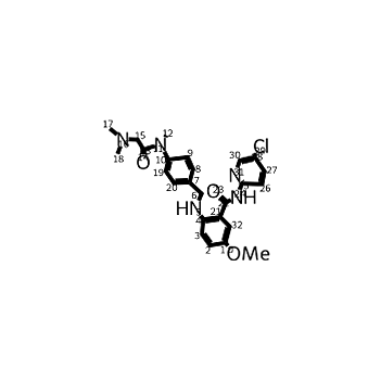 COc1ccc(NCc2ccc(N(C)C(=O)CN(C)C)cc2)c(C(=O)Nc2ccc(Cl)cn2)c1